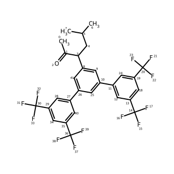 CC(=O)C(CC(C)C)c1cc(-c2cc(C(F)(F)F)cc(C(F)(F)F)c2)cc(-c2cc(C(F)(F)F)cc(C(F)(F)F)c2)c1